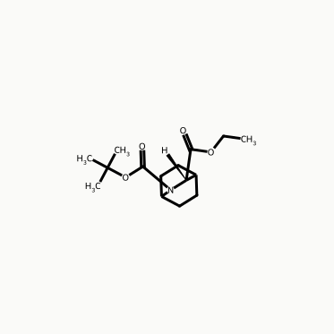 CCOC(=O)[C@@H]1C2CCC(CC2)N1C(=O)OC(C)(C)C